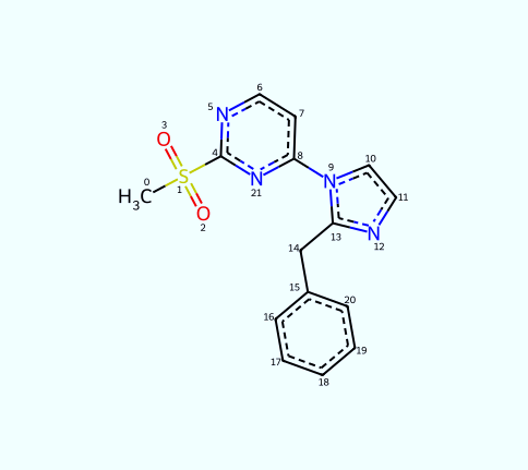 CS(=O)(=O)c1nccc(-n2ccnc2Cc2ccccc2)n1